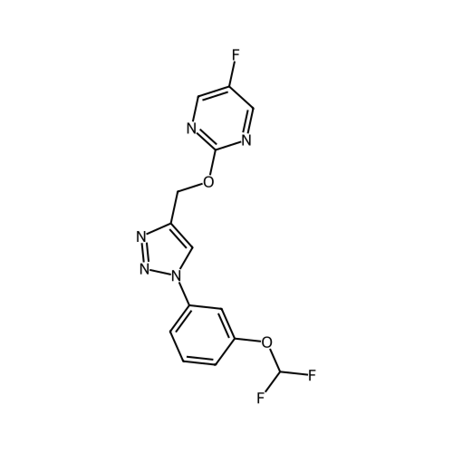 Fc1cnc(OCc2cn(-c3cccc(OC(F)F)c3)nn2)nc1